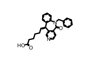 O=C(O)CCCC/C=C1\c2cnccc2C(=O)N(Cc2ccccc2)c2ccccc21